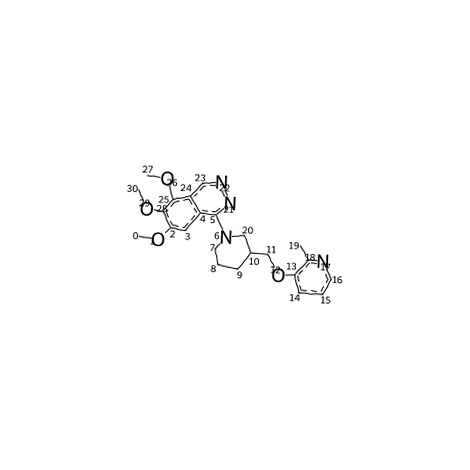 COc1cc2c(N3CCCC(COc4cccnc4C)C3)nncc2c(OC)c1OC